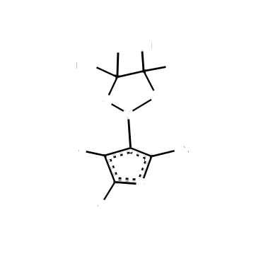 Cc1oc(C#N)c(B2OC(C)(C)C(C)(C)O2)c1C